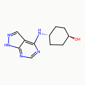 O[C@H]1CC[C@H](Nc2ncnc3[nH]ncc23)CC1